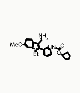 CCn1c(-c2cccc(NC(=O)OC3CCCC3)c2)c(CN)c2ccc(OC)cc21